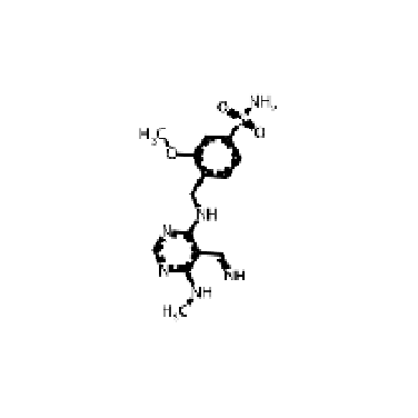 CNc1ncnc(NCc2ccc(S(N)(=O)=O)cc2OC)c1C=N